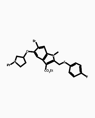 CCOC(=O)c1c(CSc2ccc(F)cc2)n(C)c2cc(Br)c(OC3CCN(C(C)C)C3)cc12